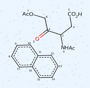 CC(=O)NC(CC(=O)O)C(=O)COC(C)=O.c1ccc2ccccc2c1